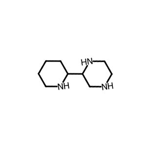 C1CCC(C2CNCCN2)NC1